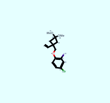 C=CC1(COc2ccc(Br)cc2I)CC(OC)(OC)C1